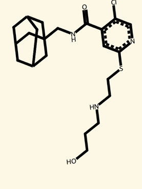 O=C(NCC12CC3CC(CC(C3)C1)C2)c1cc(SCCNCCCO)ncc1Cl